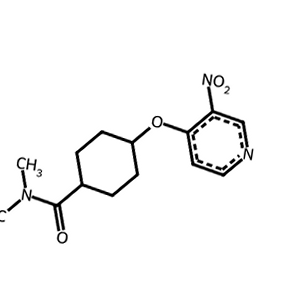 CN(C)C(=O)C1CCC(Oc2ccncc2[N+](=O)[O-])CC1